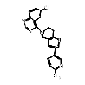 FC(F)(F)c1ccc(-c2cnc3c(c2)CN(c2ncnc4ccc(Cl)cc24)CC3)cn1